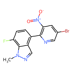 Cn1ncc2c(-c3ncc(Br)cc3[N+](=O)[O-])ccc(F)c21